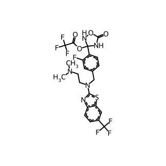 CN(C)CCN(Cc1ccc(C2(OC(=O)C(F)(F)F)NOC(=O)N2)c(F)c1)c1nc2ccc(C(F)(F)F)cc2s1